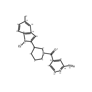 CCn1c(C2CCCN(C(=O)c3cnnc(NC)c3)C2)cc2cc(C)ccc21